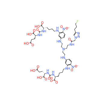 O=C(O)CC[C@H](NC(=O)N[C@@H](CCCCNc1cc(NCCN(CCNC(=O)Cn2cc(CCCF)nn2)CCNc2ccc([N+](=O)[O-])c(NCCCC[C@H](NC(=O)N[C@@H](CCC(=O)O)C(=O)O)C(=O)O)c2)ccc1[N+](=O)[O-])C(=O)O)C(=O)O